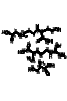 CCCNC(CCO)C(=O)O.N=C(N)NCCCC(N)C(=O)O.NC(CO)C(=O)O.NCC(=O)O